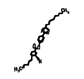 CCCCCCCCCc1cnc(-c2ccc(OC(=O)c3ccc(CCCCCC)c(C#N)c3)cc2)nc1